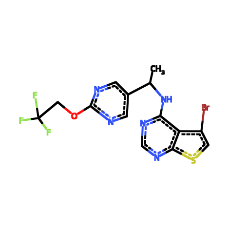 CC(Nc1ncnc2scc(Br)c12)c1cnc(OCC(F)(F)F)nc1